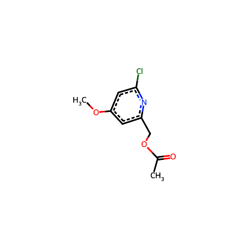 COc1cc(Cl)nc(COC(C)=O)c1